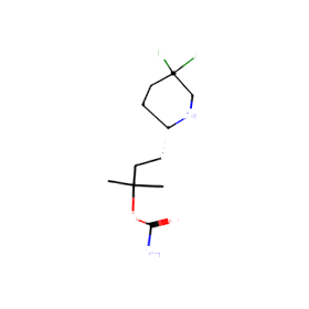 CC(C)(CC[C@@H]1CCC(F)(F)CN1)OC(N)=O